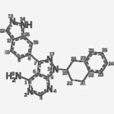 Nc1ncnc2c1c(-c1ccc3cn[nH]c3c1)nn2C1CCc2ccccc2C1